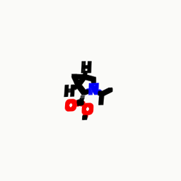 COC(=O)[C@@H]1[C@@H]2C[C@@H]2CN1C(C)C